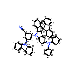 N#Cc1cc(-n2c3c(c4cc(N(c5ccccc5)c5ccccc5)ccc42)C2(c4ccccc4-c4ccccc42)c2ccccc2-3)cc(-n2c3ccccc3c3ccccc32)c1